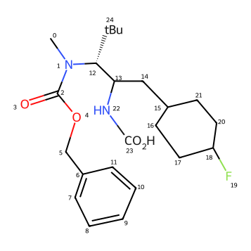 CN(C(=O)OCc1ccccc1)[C@@H](C(CC1CCC(F)CC1)NC(=O)O)C(C)(C)C